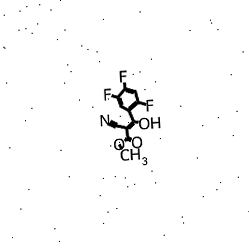 COC(=O)/C(C#N)=C(\O)c1cc(F)c(F)cc1F